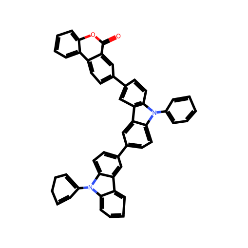 O=c1oc2ccccc2c2ccc(-c3ccc4c(c3)c3cc(-c5ccc6c(c5)c5ccccc5n6C5=CCCC=C5)ccc3n4-c3ccccc3)cc12